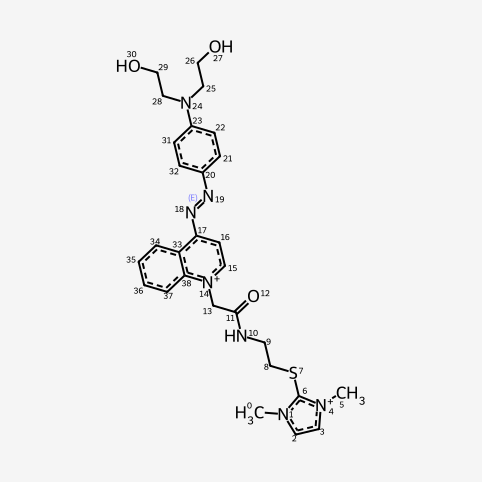 Cn1cc[n+](C)c1SCCNC(=O)C[n+]1ccc(/N=N/c2ccc(N(CCO)CCO)cc2)c2ccccc21